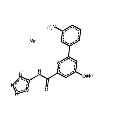 COc1cc(C(=O)Nc2nnn[nH]2)nc(-c2cccc(N)c2)c1.[Na]